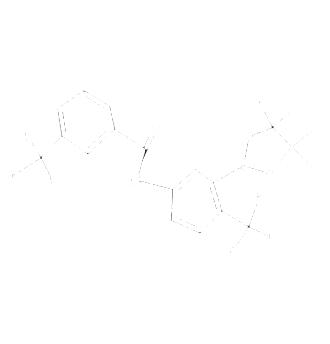 CC1(C)OB(c2cc(NC(=O)c3cccc(C(F)(F)F)c3)ccc2C(F)(F)F)OC1(C)C